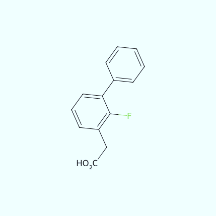 O=C(O)Cc1cccc(-c2ccccc2)c1F